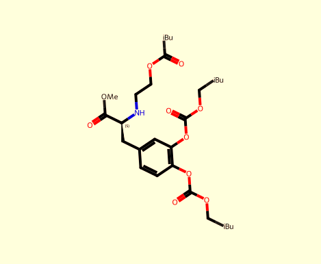 CCC(C)COC(=O)Oc1ccc(C[C@H](NCCOC(=O)C(C)CC)C(=O)OC)cc1OC(=O)OCC(C)CC